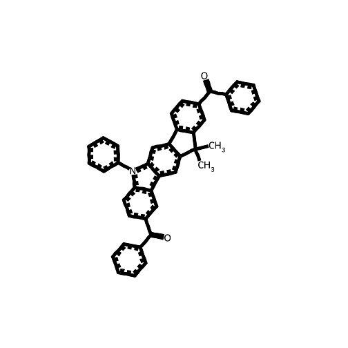 CC1(C)c2cc(C(=O)c3ccccc3)ccc2-c2cc3c(cc21)c1cc(C(=O)c2ccccc2)ccc1n3-c1ccccc1